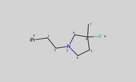 CC(C)CCN1CCC(C)(F)C1